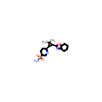 CC1(C)C(c2ccc(S(N)(=O)=O)cn2)C1c1nc2ccccc2o1